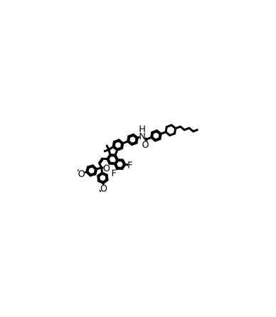 CCCCCC1CCC(c2ccc(C(=O)Nc3ccc(-c4ccc5c(c4)-c4c(c6c(c7c(F)cc(F)cc47)OC(c4ccc(OC)cc4)(c4ccc(OC)cc4)C=C6)C5(C)C)cc3)cc2)CC1